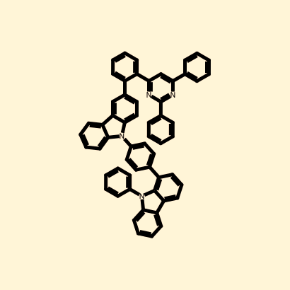 c1ccc(-c2cc(-c3ccccc3-c3ccc4c(c3)c3ccccc3n4-c3ccc(-c4cccc5c6ccccc6n(-c6ccccc6)c45)cc3)nc(-c3ccccc3)n2)cc1